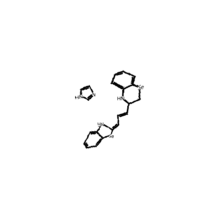 C(=CC1C[Se]c2ccccc2N1)C=C1Nc2ccccc2[Se]1.c1c[nH]cn1